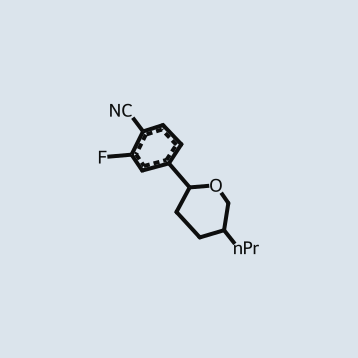 CCCC1CCC(c2ccc(C#N)c(F)c2)OC1